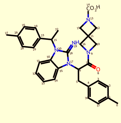 Cc1ccc(CC(C(=O)N2CC3(CN(C(=O)O)C3)C2)n2c(=N)n(C(C)c3ccc(C)cc3)c3ccccc32)cc1